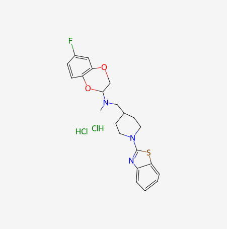 CN(CC1CCN(c2nc3ccccc3s2)CC1)C1COc2cc(F)ccc2O1.Cl.Cl